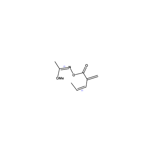 C=C(/C=C\C)C(=O)O/N=C(/C)OC